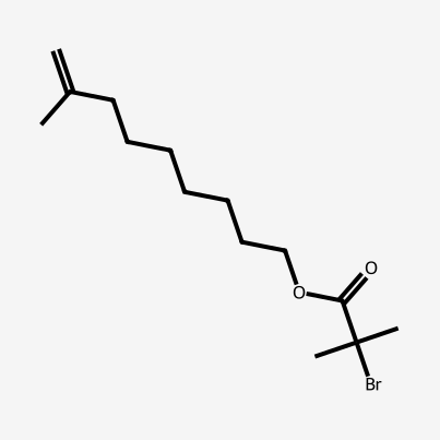 C=C(C)CCCCCCCOC(=O)C(C)(C)Br